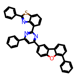 c1ccc(-c2cc(-c3ccc4oc5c(-c6ccccc6)cccc5c4c3)nc(-c3cccc4sc(-c5ccccc5)nc34)n2)cc1